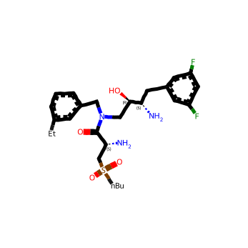 CCCCS(=O)(=O)C[C@@H](N)C(=O)N(Cc1cccc(CC)c1)C[C@@H](O)[C@@H](N)Cc1cc(F)cc(F)c1